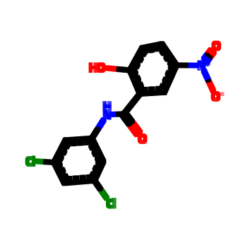 O=C(Nc1cc(Cl)cc(Cl)c1)c1cc([N+](=O)[O-])ccc1O